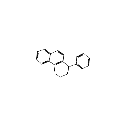 c1ccc(C2CCOc3c2ccc2ccccc32)cc1